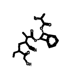 CCC(CC(C#N)C(C)C(=O)O[C@H]1c2ccccc2[C@H]1OC(=O)C(C)Br)C(=O)CO